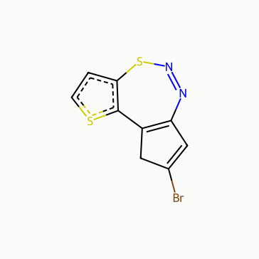 BrC1=CC2=C(C1)c1sccc1SN=N2